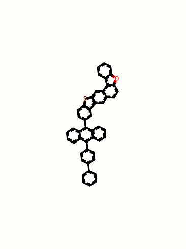 c1ccc(-c2ccc(-c3c4ccccc4c(-c4ccc5sc6cc7c(ccc8oc9ccccc9c87)cc6c5c4)c4ccccc34)cc2)cc1